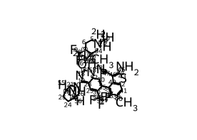 [2H]C([2H])([2H])N1CC[C@H](C(F)F)[C@](C)(C([2H])([2H])Oc2nc(N3C[C@H]4CC[C@@H](C3)N4)c3cc(C(F)(F)F)c(-c4c(F)c(C)cc5sc(N)c(C#N)c45)c(F)c3n2)C1